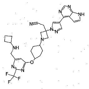 N#CCC1(n2cc(-c3ncnc4[nH]ccc34)cn2)CN(C2CCC(Oc3cc(CNC4CCC4)nc(C(F)(F)F)n3)CC2)C1